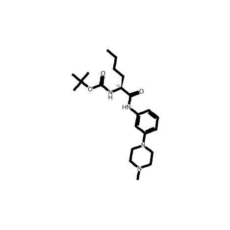 CCCC[C@H](NC(=O)OC(C)(C)C)C(=O)Nc1cccc(N2CCN(C)CC2)c1